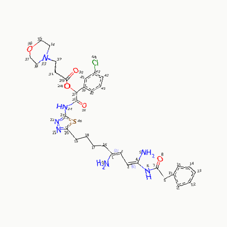 N/C(=C\C=C(/N)NC(=O)Cc1ccccc1)CCCCc1nnc(NC(=O)C(OC(=O)CCN2CCOCC2)c2cccc(Cl)c2)s1